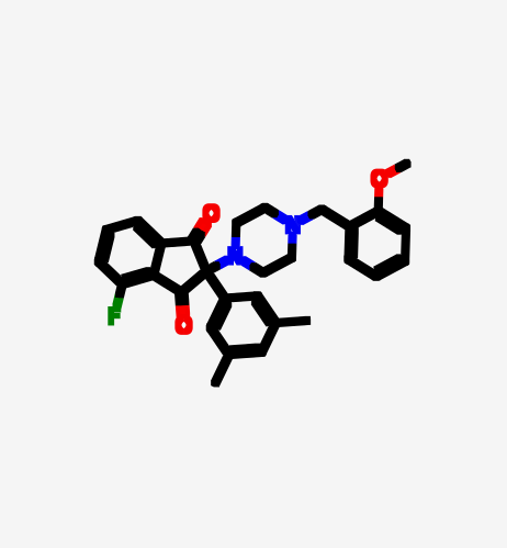 COc1ccccc1CN1CCN(C2(c3cc(C)cc(C)c3)C(=O)c3cccc(F)c3C2=O)CC1